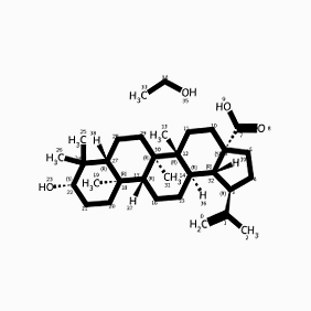 C=C(C)[C@@H]1CC[C@]2(C(=O)O)CC[C@]3(C)[C@H](CC[C@@H]4[C@@]5(C)CC[C@H](O)C(C)(C)[C@@H]5CC[C@]43C)[C@@H]12.CCO